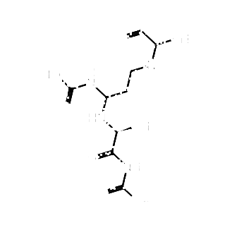 CC(C=O)NCCC(NC(=O)O)N[C@@H](C)C(=O)NC(=O)O